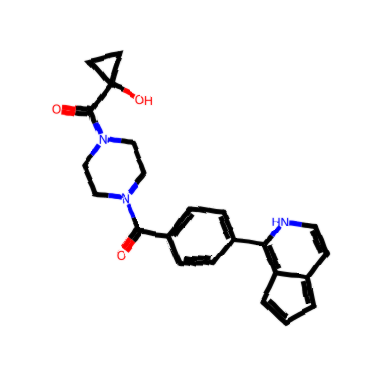 O=C(c1ccc(-c2[nH]ccc3cccc2-3)cc1)N1CCN(C(=O)C2(O)CC2)CC1